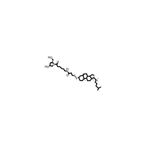 CC(C)CCC[C@@H](C)[C@H]1CCC2C3CC=C4C[C@@H](SSCCC(=O)NCCCCCC(=O)N5C[C@H](O)C[C@H]5CO)CC[C@]4(C)C3CC[C@@]21C